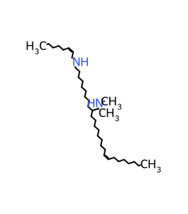 CCCCC/C=C\CNCCCCCCCCCC(CCCCCCCC/C=C\CCCCCCC)C(C)NC